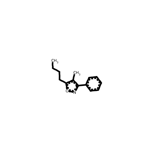 CCCCc1onc(-c2ccccc2)c1C